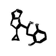 OC(Cc1c(Cl)cccc1Cl)c1c(C2CC2)sc2cncn12